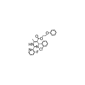 CC1=C(C(=O)OCCOc2ccccc2)C(c2ccccc2Cl)N=C(c2ncccc2F)N1